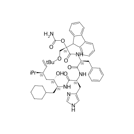 C=C[C@@H](C[C@H](O)[C@H](CC1CCCCC1)NC(=O)[C@H](Cc1c[nH]cn1)NC(=O)[C@H](Cc1ccccc1)NC(=O)[C@](COC(C)(C)C)(OC(N)=O)C1c2ccccc2-c2ccccc21)C(C)C